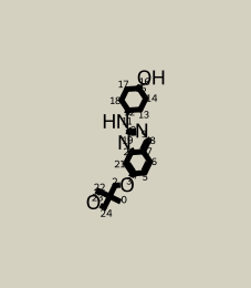 CC1(COc2ccc3cnc(NC4CCC(O)CC4)nc3c2)COC1